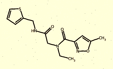 CCN(CC(=O)NCc1cccs1)C(=O)c1cc(C)on1